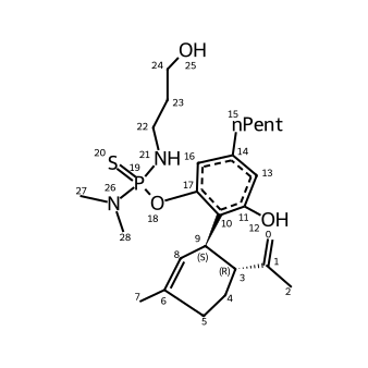 C=C(C)[C@@H]1CCC(C)=C[C@H]1c1c(O)cc(CCCCC)cc1OP(=S)(NCCCO)N(C)C